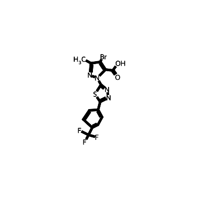 Cc1nn(-c2nnc(-c3ccc(C(F)(F)F)cc3)s2)c(C(=O)O)c1Br